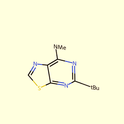 CNc1nc(C(C)(C)C)nc2scnc12